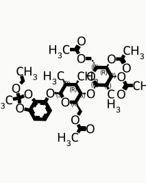 CCOC1(C)Oc2cccc(O[C@@H]3O[C@H](COC(C)=O)[C@@H](O[C@@H]4O[C@H](COC(C)=O)[C@H](OC(C)=O)[C@H](OC(C)=O)[C@H]4C)[C@H](C)[C@H]3C)c2O1